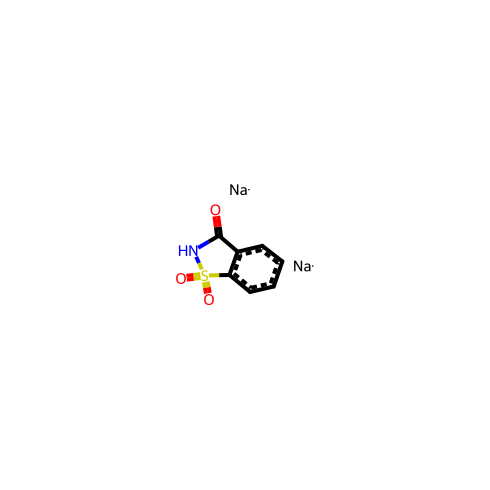 O=C1NS(=O)(=O)c2ccccc21.[Na].[Na]